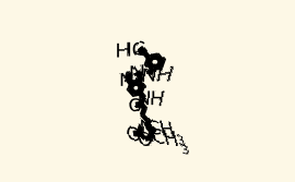 C#Cc1cccc(Nc2ncnc3ccc(NC(=O)/C=C/CN4CC(=O)OCC4(C)C)cc23)c1